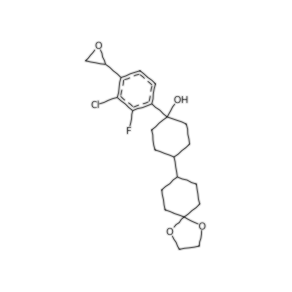 OC1(c2ccc(C3CO3)c(Cl)c2F)CCC(C2CCC3(CC2)OCCO3)CC1